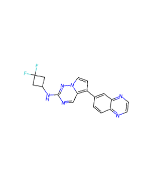 FC1(F)CC(Nc2ncc3c(-c4ccc5nccnc5c4)ccn3n2)C1